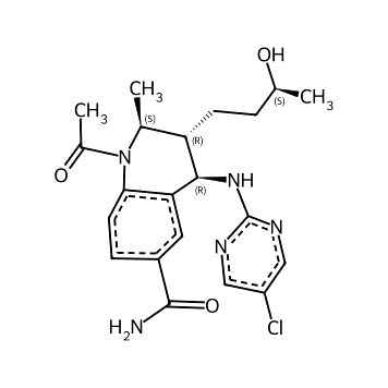 CC(=O)N1c2ccc(C(N)=O)cc2[C@H](Nc2ncc(Cl)cn2)[C@@H](CC[C@H](C)O)[C@@H]1C